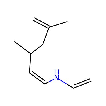 C=CN/C=C\C(C)CC(=C)C